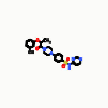 CC(Oc1cccc(C#N)c1)C(=O)N1CCN(c2ccc(S(=O)(=O)Nc3ccncn3)cc2)CC1